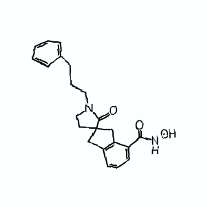 O=C(NO)c1cccc2c1CC1(CCN(CCCc3ccccc3)C1=O)C2